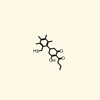 CCCC(=O)C1=C(O)CC(c2c(C)c(C)c(C)c(C)c2CS)CC1=O